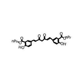 CCCOC(=O)c1cc(C=CC(=O)CC(=O)C=Cc2ccc(O)c(C(=O)OCCC)c2)ccc1O